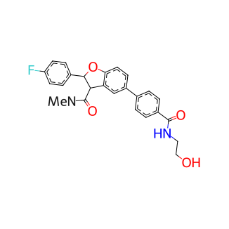 CNC(=O)C1c2cc(-c3ccc(C(=O)NCCO)cc3)ccc2OC1c1ccc(F)cc1